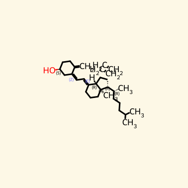 C=C.C=C.C=C1CC[C@H](O)C/C1=C/C=C1\CCC[C@]2(C)[C@@H]([C@H](C)CCCC(C)C)CC[C@@H]12